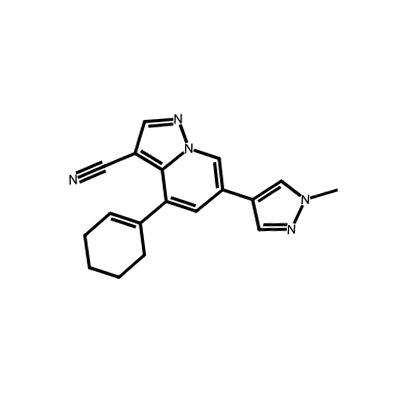 Cn1cc(-c2cc(C3=CCCCC3)c3c(C#N)cnn3c2)cn1